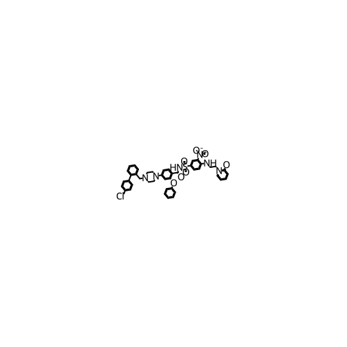 O=C(NS(=O)(=O)c1ccc(NCCn2ccccc2=O)c([N+](=O)[O-])c1)c1ccc(N2CCN(Cc3ccccc3-c3ccc(Cl)cc3)CC2)cc1Oc1ccccc1